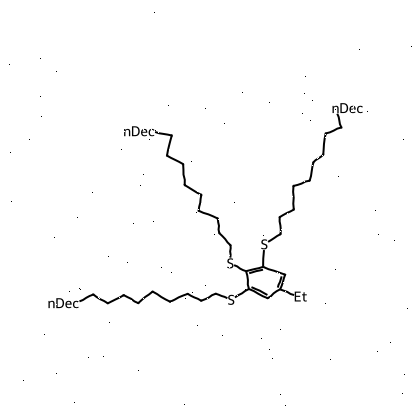 CCCCCCCCCCCCCCCCCCCSc1cc(CC)cc(SCCCCCCCCCCCCCCCCCCC)c1SCCCCCCCCCCCCCCCCCCC